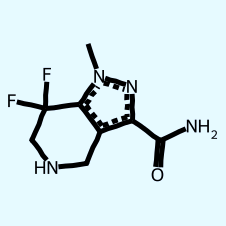 Cn1nc(C(N)=O)c2c1C(F)(F)CNC2